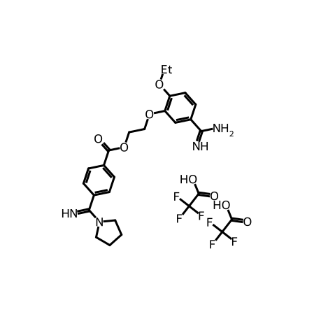 CCOc1ccc(C(=N)N)cc1OCCOC(=O)c1ccc(C(=N)N2CCCC2)cc1.O=C(O)C(F)(F)F.O=C(O)C(F)(F)F